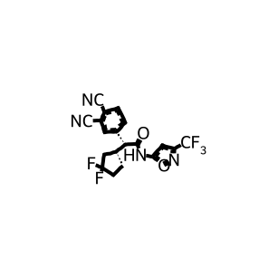 N#Cc1ccc([C@H](C(=O)Nc2cc(C(F)(F)F)no2)[C@@H]2CCC(F)(F)C2)cc1C#N